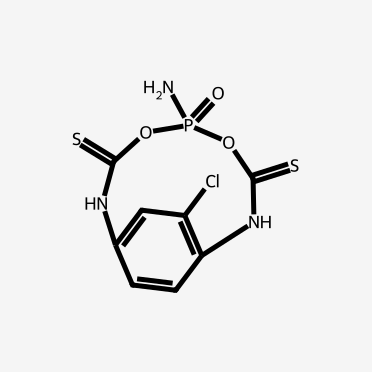 NP1(=O)OC(=S)Nc2ccc(c(Cl)c2)NC(=S)O1